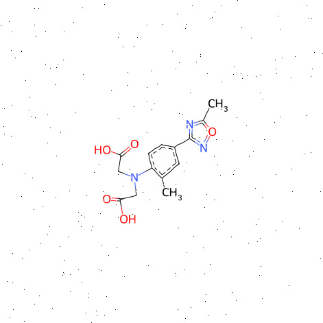 Cc1nc(-c2ccc(N(CC(=O)O)CC(=O)O)c(C)c2)no1